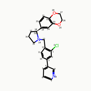 Clc1cc(-c2cccnc2)ccc1CN1CCC[C@H]1c1ccc2c(c1)OCCO2